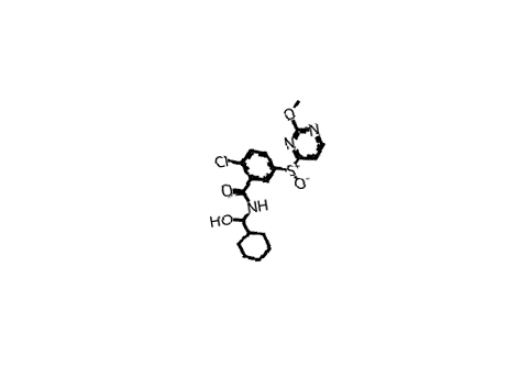 COc1nccc([S+]([O-])c2ccc(Cl)c(C(=O)NC(O)C3CCCCC3)c2)n1